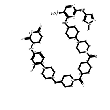 CCOC(=O)c1cnc(Nc2cnn(C)c2)nc1NC1CCC(N2CCN(C(=O)C3CCC(C(=O)N4CCC(CN5CCN(c6ccc(N[C@@H]7CCC(=O)NC7=O)cc6F)CC5)CC4)CC3)CC2)CC1